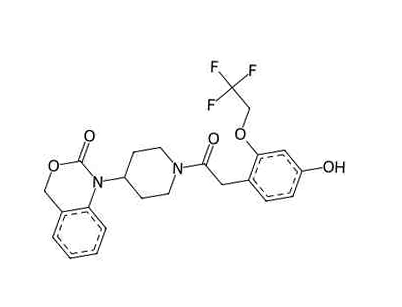 O=C(Cc1ccc(O)cc1OCC(F)(F)F)N1CCC(N2C(=O)OCc3ccccc32)CC1